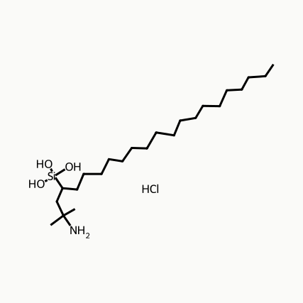 CCCCCCCCCCCCCCCCCCC(CC(C)(C)N)[Si](O)(O)O.Cl